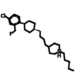 CCCCC[SiH]1CCC(CCCC[C@H]2CC[C@H](c3ccc(Cl)cc3CF)CC2)CC1